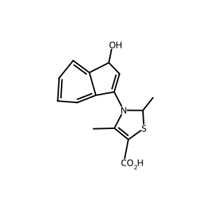 CC1=C(C(=O)O)SC(C)N1C1=CC(O)c2ccccc21